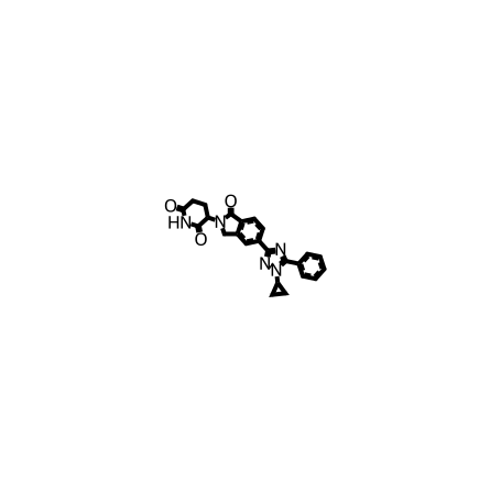 O=C1CCC(N2Cc3cc(-c4nc(-c5ccccc5)n(C5CC5)n4)ccc3C2=O)C(=O)N1